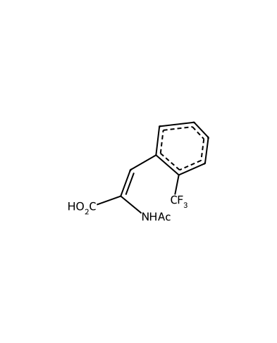 CC(=O)N/C(=C\c1ccccc1C(F)(F)F)C(=O)O